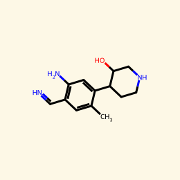 Cc1cc(C=N)c(N)cc1C1CCNCC1O